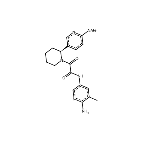 CNc1ccc([C@@H]2CCCCN2C(=O)C(=O)Nc2cnc(N)c(C)c2)cn1